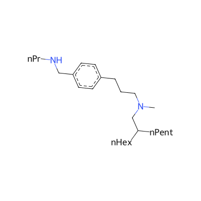 CCCCCCC(CCCCC)CN(C)CCCc1ccc(CNCCC)cc1